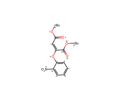 CCCCOC(=O)/C=C(/Oc1ccccc1[N+](=O)[O-])C(=O)OCCCC